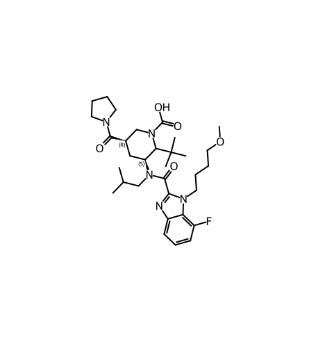 COCCCCn1c(C(=O)N(CC(C)C)[C@H]2C[C@@H](C(=O)N3CCCC3)CN(C(=O)O)C2C(C)(C)C)nc2cccc(F)c21